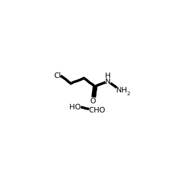 NNC(=O)CCCl.O=CO